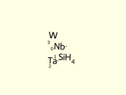 [Nb].[SiH4].[Ta].[W]